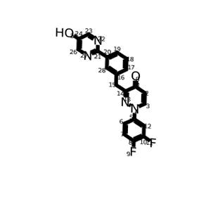 O=c1ccn(-c2ccc(F)c(F)c2)nc1Cc1cccc(-c2ncc(O)cn2)c1